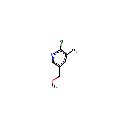 CCCCOCc1[c]nc(Cl)c(C(F)(F)F)c1